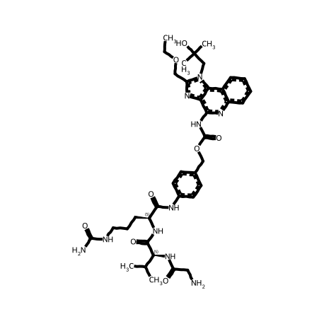 CCOCc1nc2c(NC(=O)OCc3ccc(NC(=O)[C@H](CCCNC(N)=O)NC(=O)[C@@H](NC(=O)CN)C(C)C)cc3)nc3ccccc3c2n1CC(C)(C)O